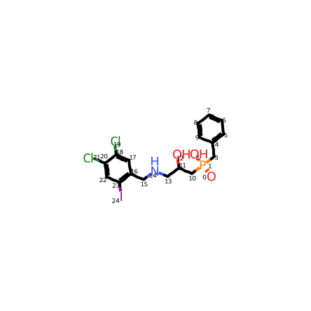 O=P(O)(Cc1ccccc1)CC(O)CNCc1cc(Cl)c(Cl)cc1I